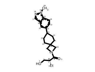 CC[C@H](CO)C(=O)N1CC2(CCC(c3ccc4c(cnn4C)c3)CC2)C1